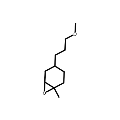 COCCCC1CCC2(C)OC2C1